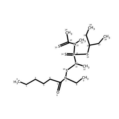 CCCCCC(=O)N(CC)SN(C)P(=S)(SC(CC)CC)N(C)C(C)=S